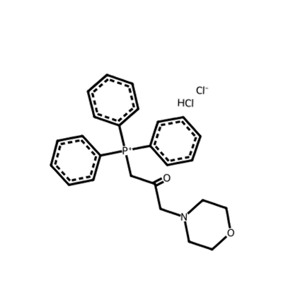 Cl.O=C(CN1CCOCC1)C[P+](c1ccccc1)(c1ccccc1)c1ccccc1.[Cl-]